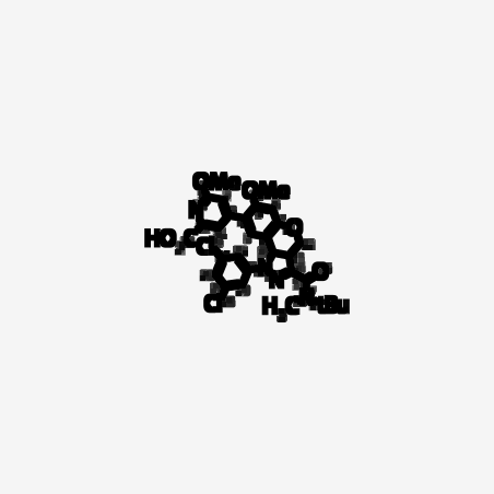 COc1cc(-c2cc3c(cc2OC)OCC2C(C(=O)N(C)C(C)(C)C)=NN(c4cc(Cl)cc(Cl)c4)C32)cc(C(=O)O)n1